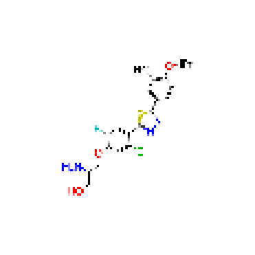 CC(C)Oc1ccc(-c2nnc(-c3cc(F)c(OC[C@H](N)CO)cc3Cl)s2)cc1C#N